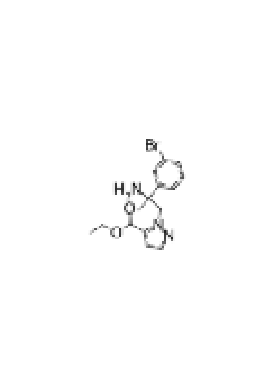 CCOC(=O)c1ccnn1CC(C)(N)c1cccc(Br)c1